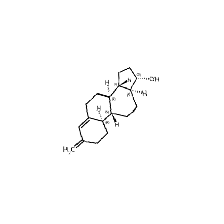 C=C1C=C2CC[C@H]3[C@@H]4CC[C@H](O)[C@H]4CC[C@@H]3[C@H]2CC1